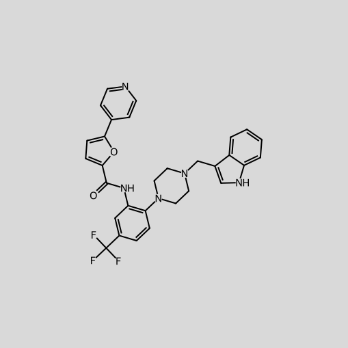 O=C(Nc1cc(C(F)(F)F)ccc1N1CCN(Cc2c[nH]c3ccccc23)CC1)c1ccc(-c2ccncc2)o1